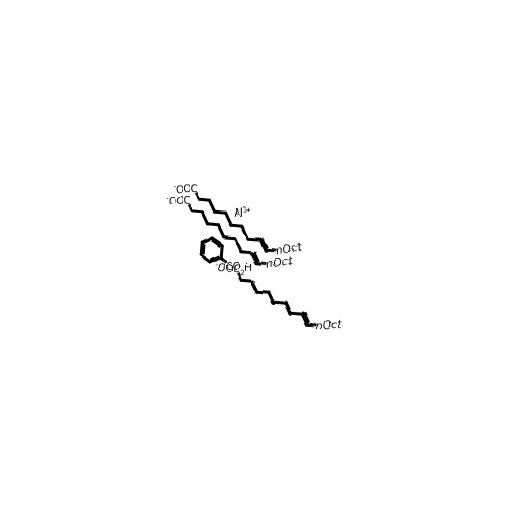 CCCCCCCCC=CCCCCCCCC(=O)[O-].CCCCCCCCC=CCCCCCCCC(=O)[O-].CCCCCCCCC=CCCCCCCCC(=O)[O-].O=C(O)c1ccccc1.[Al+3]